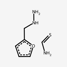 NC=S.NNCc1ccco1